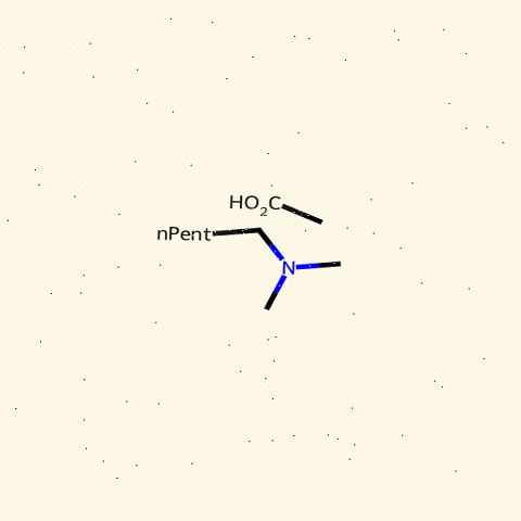 CC(=O)O.CCCCCCN(C)C